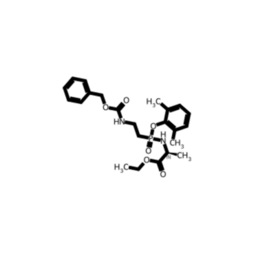 CCOC(=O)[C@H](C)NP(=O)(CCNC(=O)OCc1ccccc1)Oc1c(C)cccc1C